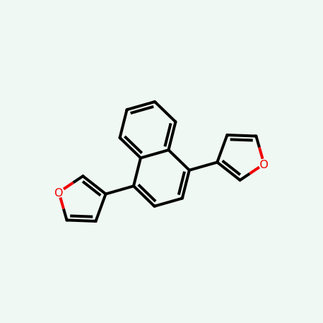 c1ccc2c(-c3ccoc3)ccc(-c3ccoc3)c2c1